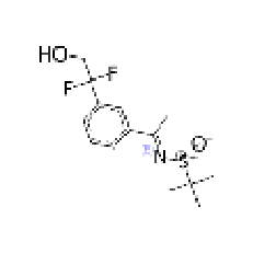 C/C(=N\[S@+]([O-])C(C)(C)C)c1cccc(C(F)(F)CO)c1